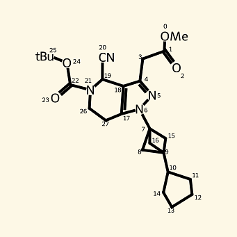 COC(=O)Cc1nn(C23CC(C4CCCC4)(C2)C3)c2c1C(C#N)N(C(=O)OC(C)(C)C)CC2